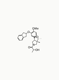 COc1ccc([C@@H]2CN(C(=O)C(C)O)C[C@@]2(C)[C@@H](C)O)cc1OC1Cc2ccccc2C1